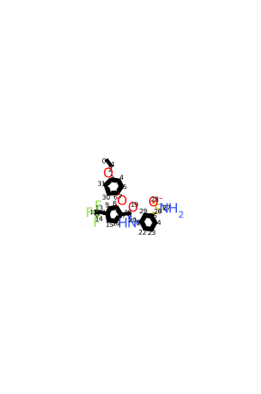 CCOc1ccc(Oc2cc(C(F)(F)F)ccc2C(=O)Nc2cccc([S+](N)[O-])c2)cc1